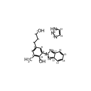 Cc1cc(CCCO)cc(-n2nc3ccccc3n2)c1O.c1c[nH]nn1